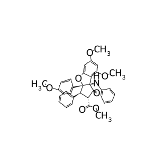 COC(=O)[C@H]1C(=O)[C@@]2(Nc3ccccc3)c3c(OC)cc(OC)cc3O[C@@]2(c2ccc(OC)cc2)[C@@H]1c1ccccc1